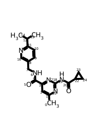 Cc1cc(C(=O)NCc2ccc(C(C)C)nc2)nc(NC(=O)C2CC2)n1